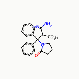 N=C(N)C(C(=O)O)C(c1ccccc1)(c1ccccc1)N1CCCC1=O